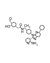 CC(NC(=O)Cc1ccc(C=O)c(O)c1)c1ccc(-n2c(-c3cccnc3N)nc3ccc(-c4ccccc4)nc32)cc1